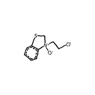 [O-][N+]1(CCCl)CSc2ccccc21